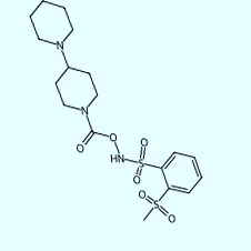 CS(=O)(=O)c1ccccc1S(=O)(=O)NOC(=O)N1CCC(N2CCCCC2)CC1